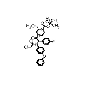 CC[C@H]1CN(C(=O)[C@@H](c2ccc(F)cc2)N(C(=O)CCl)c2ccc(Oc3ccccc3)cc2)CCN1C(=O)OC(C)(C)C